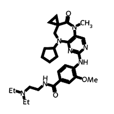 CCN(CC)CCNC(=O)c1ccc(Nc2ncc3c(n2)N(C2CCCC2)CC2(CC2)C(=O)N3C)c(OC)c1